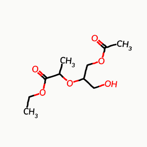 CCOC(=O)C(C)OC(CO)COC(C)=O